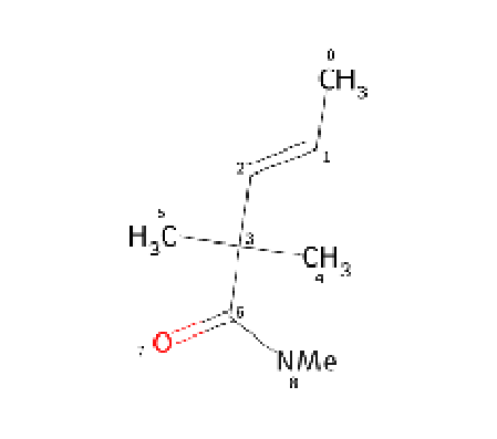 C/C=C/C(C)(C)C(=O)NC